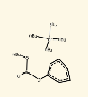 CCCCOB([O-])Oc1ccccc1.CCCC[N+](CCCC)(CCCC)CCCC